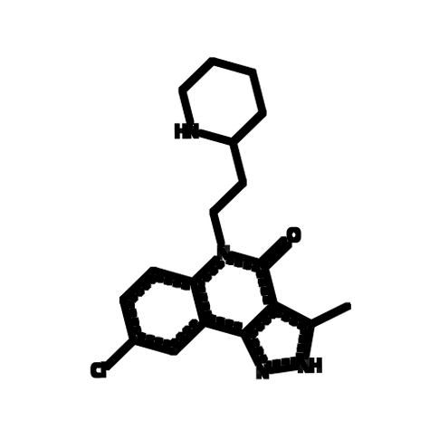 Cc1[nH]nc2c1c(=O)n(CCC1CCCCN1)c1ccc(Cl)cc21